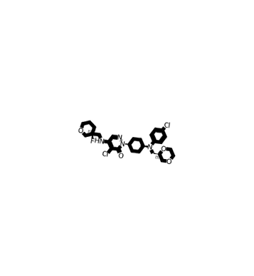 O=c1c(Cl)c(NC[C@@]2(F)CCCOC2)cnn1[C@H]1CC[C@H](N(C[C@H]2COCCO2)c2ccc(Cl)cc2)CC1